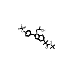 CC(O)Cn1c(-c2ccc(OC(F)(F)F)cc2)cc2cc(C(C)(C)C(=O)NC(C)(C)C)ccc21